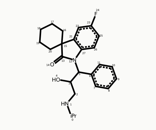 CC(C)NCC(O)C(c1ccccc1)N1C(=O)C2(CCCCC2)c2cc(F)ccc21